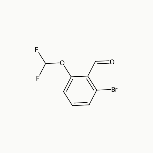 O=Cc1c(Br)cccc1OC(F)F